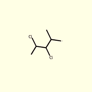 [CH2]C(C)C(Cl)C(C)Cl